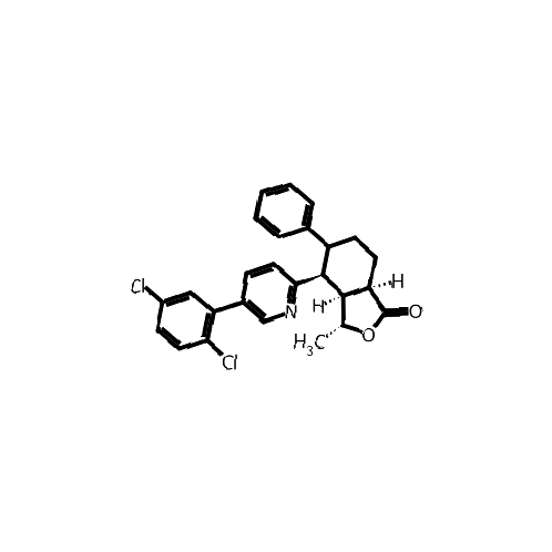 C[C@H]1OC(=O)[C@@H]2CCC(c3ccccc3)[C@H](c3ccc(-c4cc(Cl)ccc4Cl)cn3)[C@H]12